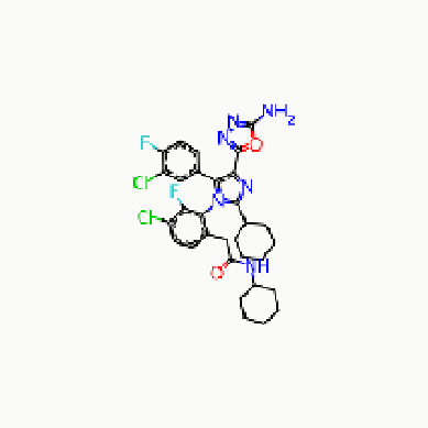 Nc1nnc(-c2nc(C3CCCCC3)n(-c3c(CC(=O)NC4CCCCC4)ccc(Cl)c3F)c2-c2ccc(F)c(Cl)c2)o1